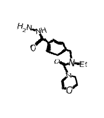 CCN(Cc1ccc(C(=O)NN)cc1)C(=O)N1CCOCC1